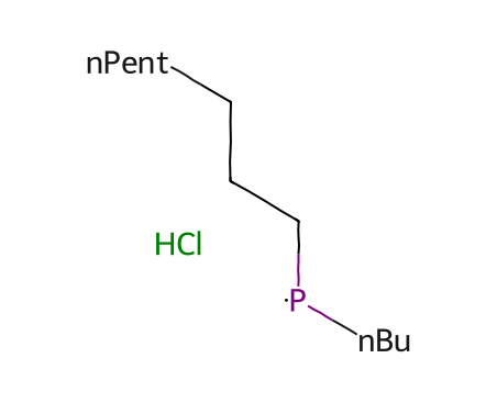 CCCCCCCC[P]CCCC.Cl